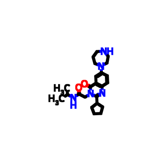 CC(C)NC(=O)Cn1c(C2CCCC2)nc2ccc(N3CCCNCC3)cc2c1=O